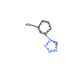 [SeH]c1cccc(-n2cnnn2)c1